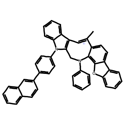 C/C1=C\c2c(n(-c3ccc(-c4ccc5ccccc5c4)cc3)c3ccccc23)CN(c2ccccc2)c2c1ccc1c2oc2ccccc21